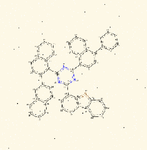 c1ccc(-c2ccc(-c3nc(-c4c(-c5ccc6ccccc6c5)ccc5ccccc45)nc(-c4cccc5c4sc4ccccc45)n3)c3ccccc23)cc1